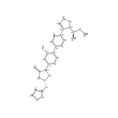 O=C1O[C@@H](Cn2ccnn2)CN1c1ccc(-c2ccc(C3=NOCC3[C@H](O)CO)nc2)c(F)c1